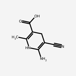 CC1=C(C(=O)O)CC(C#N)=C(N)N1